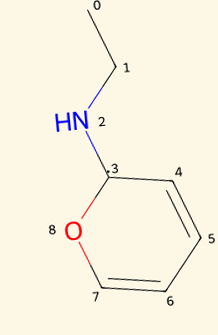 CCN[C]1C=CC=CO1